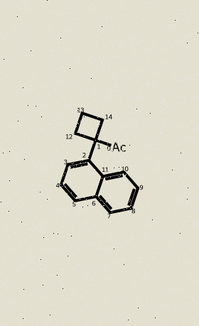 CC(=O)C1(c2cccc3ccccc23)CCC1